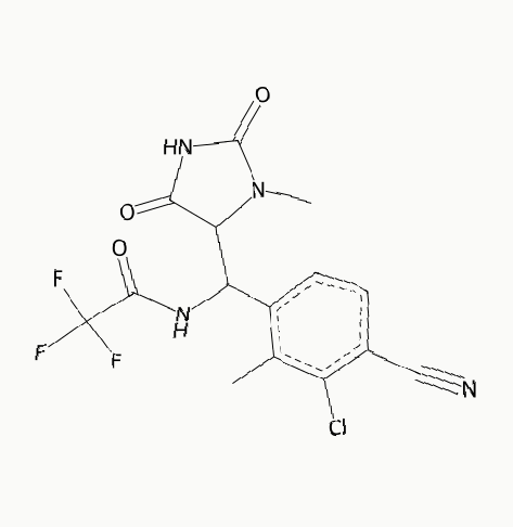 Cc1c(C(NC(=O)C(F)(F)F)C2C(=O)NC(=O)N2C)ccc(C#N)c1Cl